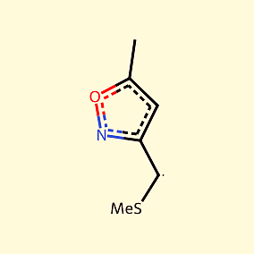 CS[CH]c1cc(C)on1